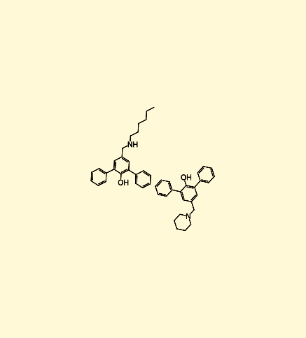 CCCCCCNCc1cc(-c2ccccc2)c(O)c(-c2ccccc2)c1.Oc1c(-c2ccccc2)cc(CN2CCCCC2)cc1-c1ccccc1